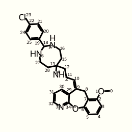 COc1cccc2c1C/C(=C/CCC1(N)CCNC(c3ccc(Cl)cc3)NCC1)c1cccnc1O2